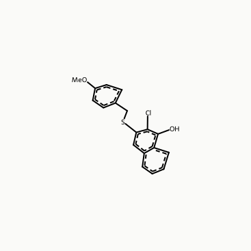 COc1ccc(CSc2cc3ccccc3c(O)c2Cl)cc1